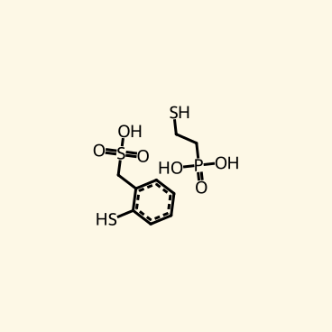 O=P(O)(O)CCS.O=S(=O)(O)Cc1ccccc1S